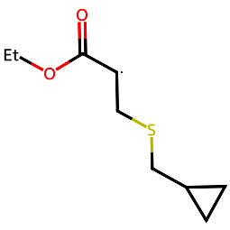 CCOC(=O)[CH]CSCC1CC1